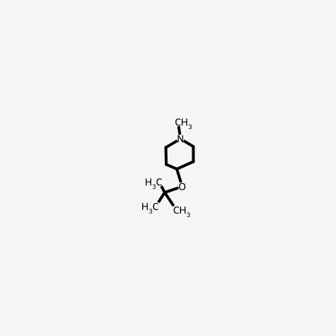 CN1CCC(OC(C)(C)C)CC1